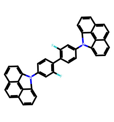 Fc1cc(-n2c3cccc4ccc5cccc2c5c43)ccc1-c1ccc(-n2c3cccc4ccc5cccc2c5c43)cc1F